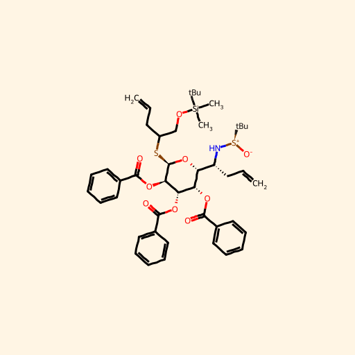 C=CCC(CO[Si](C)(C)C(C)(C)C)S[C@H]1O[C@H]([C@@H](CC=C)N[S@+]([O-])C(C)(C)C)[C@H](OC(=O)c2ccccc2)[C@H](OC(=O)c2ccccc2)[C@H]1OC(=O)c1ccccc1